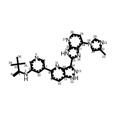 C=C(Nc1cncc(-c2ccc3[nH]nc(-c4nc5c(-n6cnc(C)c6)ccnc5[nH]4)c3n2)c1)C(C)(C)C